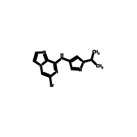 CC(C)n1cc(Nc2nc(Br)cn3ccnc23)cn1